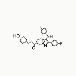 Cc1ccc(Nc2c(-c3ccc(F)cc3)nc3n2CCN(C(=O)CCc2ccc(O)cc2)C3)cc1